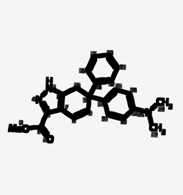 COC(=O)c1n[nH]c2c1C=CC(c1ccccc1)(c1ccc(N(C)C)cc1)C2